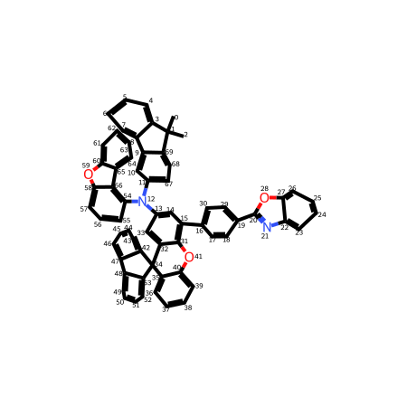 CC1(C)c2ccccc2-c2cc(N(c3cc(-c4ccc(-c5nc6ccccc6o5)cc4)c4c(c3)C3(c5ccccc5O4)c4ccccc4-c4ccccc43)c3cccc4oc5ccccc5c34)ccc21